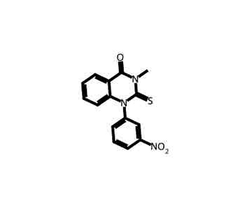 Cn1c(=O)c2ccccc2n(-c2cccc([N+](=O)[O-])c2)c1=S